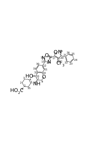 O=C(O)[C@@H]1CCC[C@H](N[C@@H]2COc3cc(-c4noc(-c5onc(-c6ccccc6)c5C(F)(F)F)n4)ccc3[C@H]2O)C1